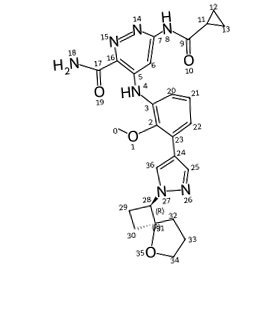 COc1c(Nc2cc(NC(=O)C3CC3)nnc2C(N)=O)cccc1-c1cnn([C@@H]2CC[C@@]23CCCO3)c1